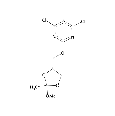 COC1(C)OCC(COc2nc(Cl)nc(Cl)n2)O1